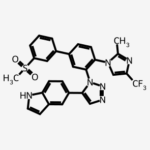 Cc1nc(C(F)(F)F)cn1-c1ccc(-c2cccc(S(C)(=O)=O)c2)cc1-n1nncc1-c1ccc2[nH]ccc2c1